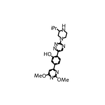 COc1cc(-c2ccc(-c3cnc(N4CCNC(C(C)C)C4)nn3)c(O)c2)nc(OC)n1